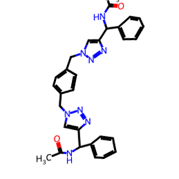 CC(=O)NC(c1ccccc1)c1cn(Cc2ccc(Cn3cc(C(NC(C)=O)c4ccccc4)nn3)cc2)nn1